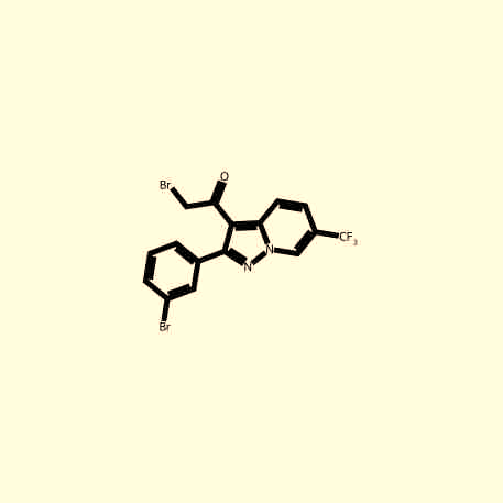 O=C(CBr)c1c(-c2cccc(Br)c2)nn2cc(C(F)(F)F)ccc12